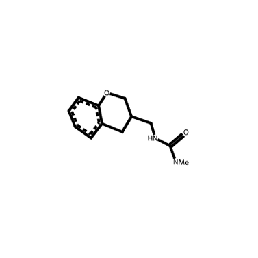 CNC(=O)NCC1COc2ccccc2C1